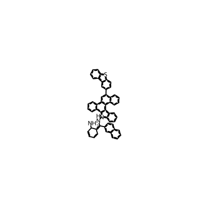 NC1C=CC=C/C1=C(/Nn1c2ccccc2c2c3c4ccccc4c(-c4ccc5sc6ccccc6c5c4)cc3c3ccccc3c21)c1ccc2ccccc2c1